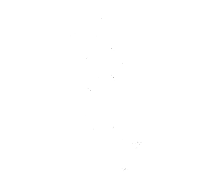 COc1ccc(CCNc2ncnc(C(F)F)c2Cl)cc1OC